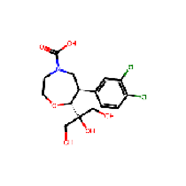 O=C(O)N1CCO[C@@H](C(O)(CO)CO)[C@H](c2ccc(Cl)c(Cl)c2)C1